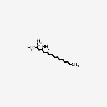 CCCCCCCCCCCCC(N)CC(C)C